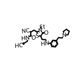 C#CCNC(=O)C(C#N)CC1SC(CCNc2cccc(CCN3CCCC3)c2)C(=O)N1CC